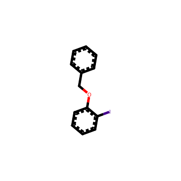 Ic1cc[c]cc1OCc1ccccc1